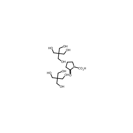 O=C(O)N1CCCC1=O.OCC(CO)(CO)CO.OCC(CO)(CO)CO